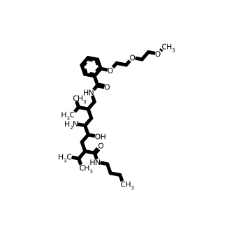 CCCCNC(=O)C(CC(O)C(N)CC(CNC(=O)c1ccccc1OCCOCCOC)C(C)C)C(C)C